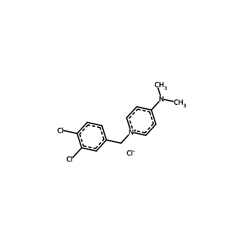 CN(C)c1cc[n+](Cc2ccc(Cl)c(Cl)c2)cc1.[Cl-]